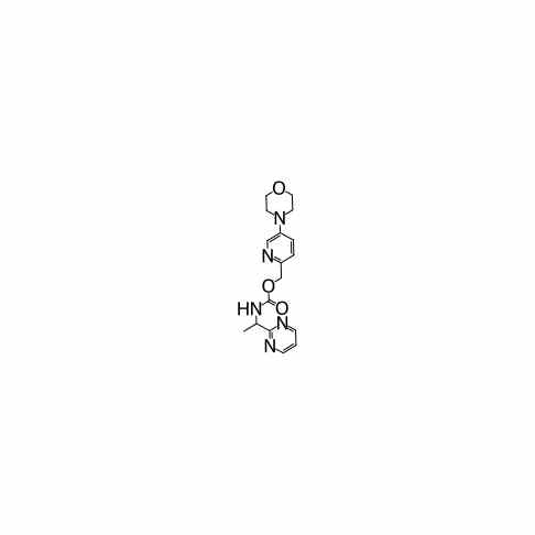 CC(NC(=O)OCc1ccc(N2CCOCC2)cn1)c1ncccn1